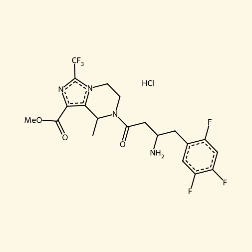 COC(=O)c1nc(C(F)(F)F)n2c1C(C)N(C(=O)CC(N)Cc1cc(F)c(F)cc1F)CC2.Cl